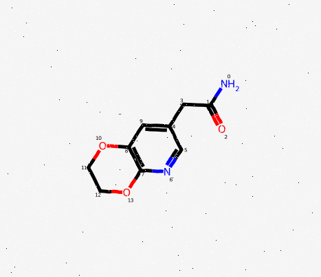 NC(=O)[CH]c1cnc2c(c1)OCCO2